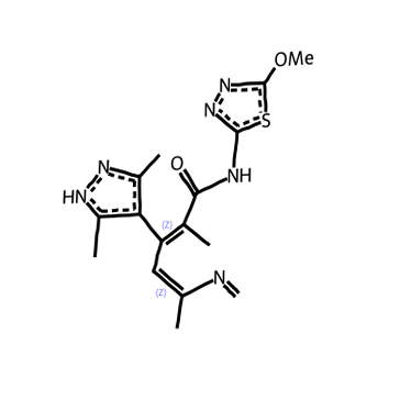 C=N/C(C)=C\C(=C(/C)C(=O)Nc1nnc(OC)s1)c1c(C)n[nH]c1C